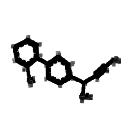 CCCCC#CC(OC(C)=O)c1ccc(-c2ccccc2C#N)cc1